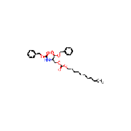 C=CCCCCCCCCOC(=O)OCC(NC(=O)OCc1ccccc1)C(=O)OCc1ccccc1